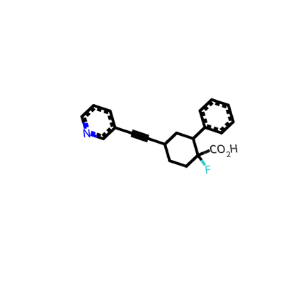 O=C(O)C1(F)CCC(C#Cc2cccnc2)CC1c1ccccc1